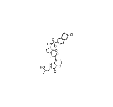 CC(O)CNC(=O)C1CN(C(=O)[C@H](C)N2CC[C@H](NS(=O)(=O)c3ccc4cc(Cl)ccc4c3)C2=O)CCO1